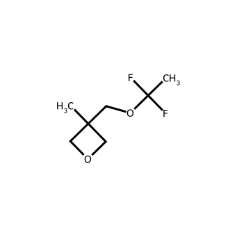 CC1(COC(C)(F)F)COC1